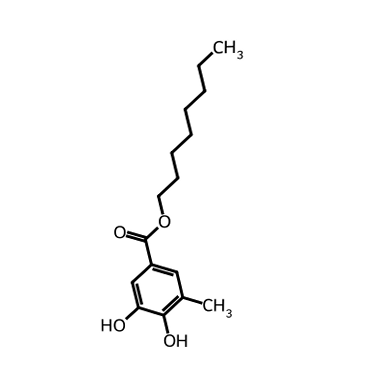 CCCCCCCCOC(=O)c1cc(C)c(O)c(O)c1